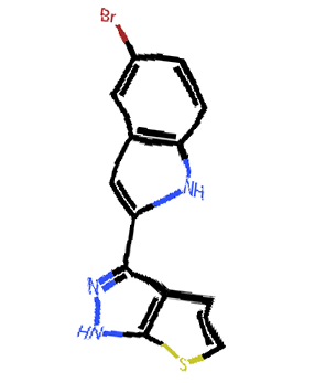 Brc1ccc2[nH]c(-c3n[nH]c4sccc34)cc2c1